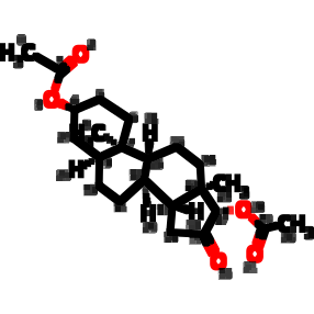 CC(=O)O[C@H]1CC[C@]2(C)[C@@H](CC[C@@H]3[C@H]4CC(=O)[C@@H](OC(C)=O)[C@]4(C)CC[C@H]32)C1